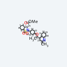 COC(=O)CC1c2ccccc2S(=O)(=O)N1c1ccc(OC(C)c2cc(C)nc3ccccc23)cc1